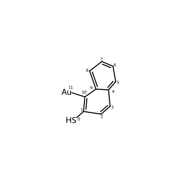 Sc1ccc2ccccc2[c]1[Au]